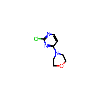 Clc1nc[c]c(N2CCOCC2)n1